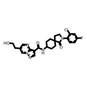 O=C(NC1CCC2(CC1)CCN(c1ccc(F)cc1Cl)C2=O)c1cnn2cc(CCO)cnc12